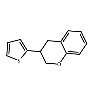 c1csc(C2COc3ccccc3C2)c1